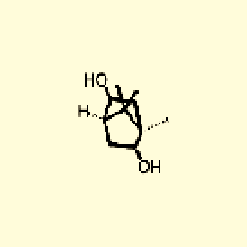 CC1(C)[C@H]2C[C@H](O)[C@]1(C)C[C@@H]2O